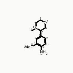 COc1cc(C2COCCN2C)ccc1N